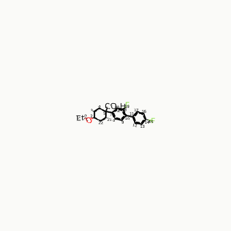 CCOC1CCC(C(=O)O)(c2ccc(-c3ccc(F)cc3)c(F)c2)CC1